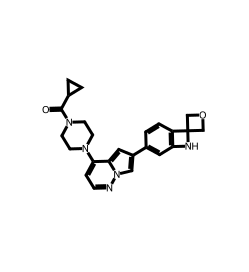 O=C(C1CC1)N1CCN(c2ccnn3cc(-c4ccc5c(c4)NC54COC4)cc23)CC1